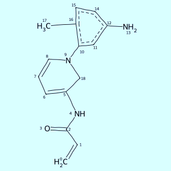 C=CC(=O)NC1=CC=CN(c2cc(N)ccc2C)C1